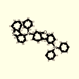 c1ccc(N(c2ccccc2)c2ccc3oc4cc(N(c5ccccc5)c5cccc6sc7ccccc7c56)ccc4c3c2)cc1